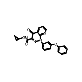 O=C(NC1CC1)c1nn(-c2cccc(Oc3ccccc3)c2)c2ncccc2c1=O